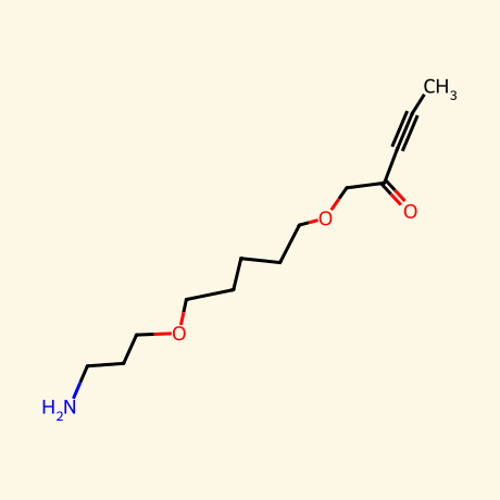 CC#CC(=O)COCCCCCOCCCN